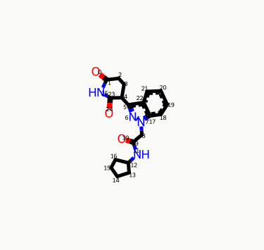 O=C1CCC(c2nn(CC(=O)NC3CCCC3)c3ccccc23)C(=O)N1